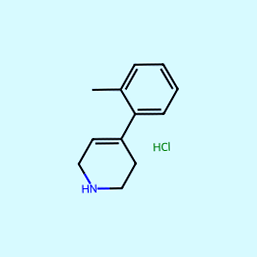 Cc1ccccc1C1=CCNCC1.Cl